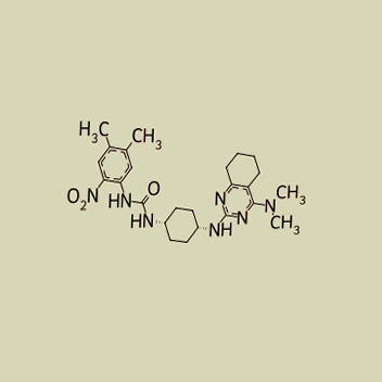 Cc1cc(NC(=O)N[C@H]2CC[C@@H](Nc3nc4c(c(N(C)C)n3)CCCC4)CC2)c([N+](=O)[O-])cc1C